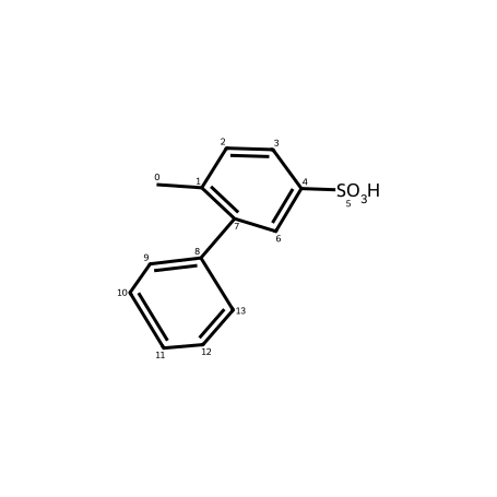 Cc1ccc(S(=O)(=O)O)cc1-c1ccccc1